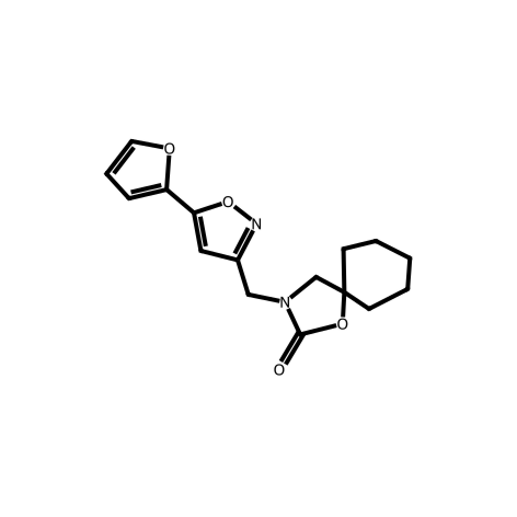 O=C1OC2(CCCCC2)CN1Cc1cc(-c2ccco2)on1